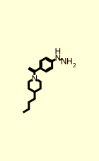 C=C(c1ccc(NN)cc1)N1CCC(CCCC)CC1